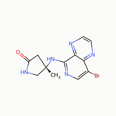 C[C@@]1(Nc2ncc(Br)c3nccnc23)CNC(=O)C1